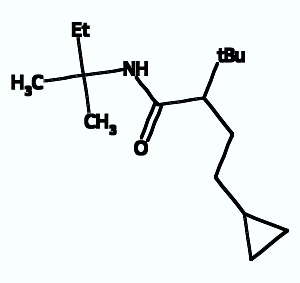 CCC(C)(C)NC(=O)C(CCC1CC1)C(C)(C)C